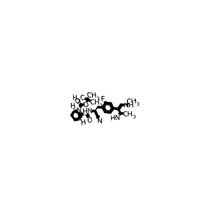 CN/C=C(\C(C)=N)c1ccc(C[C@@H](C#N)NC(=O)[C@@H]2[C@H]3CC[C@H](C3)N2C(=O)OC(C)(C)C)c(F)c1